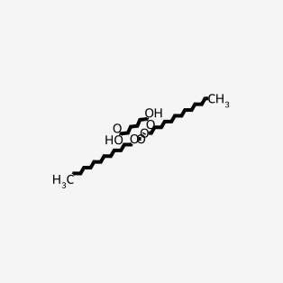 CCCCCCCCCCCCCOOOCCCCCCCCCCCCC.O=C(O)CCCCC(=O)O